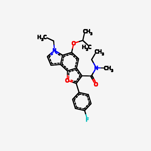 CCN(C)C(=O)c1c(-c2ccc(F)cc2)oc2c1cc(OC(C)C)c1c2ccn1CC